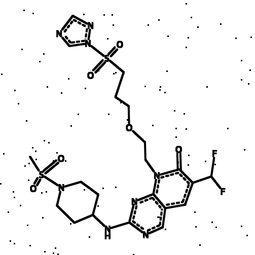 CS(=O)(=O)N1CCC(Nc2ncc3cc(C(F)F)c(=O)n(CCOCCCS(=O)(=O)n4cncn4)c3n2)CC1